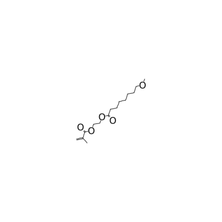 C=C(C)C(=O)OCCOC(=O)CCCCCCCOC